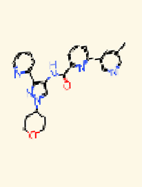 Cc1cncc(-c2cccc(C(=O)Nc3cn(C4CCOCC4)nc3-c3ccccn3)n2)c1